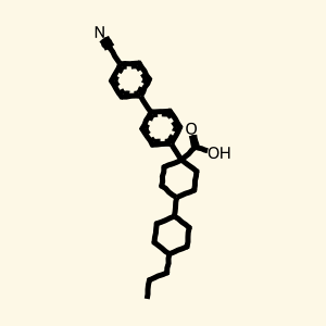 CCCC1CCC(C2CCC(C(=O)O)(c3ccc(-c4ccc(C#N)cc4)cc3)CC2)CC1